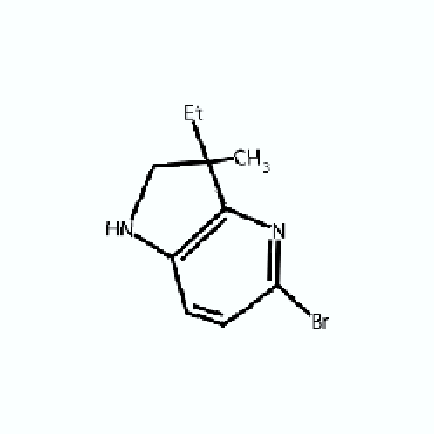 CCC1(C)CNc2ccc(Br)nc21